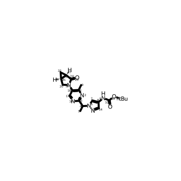 Cc1nc(C(C)n2cc(NC(=O)OC(C)(C)C)cn2)ncc1N1C[C@H]2C[C@H]2C1=O